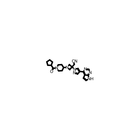 N#CCC1(n2cc(-c3ncnc4[nH]ccc34)cn2)CN(C2CCN(C(=O)C3CCCC3)CC2)C1